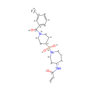 C=CC(=O)NC1CCCN(S(=O)(=O)C2CCN(C(=O)c3cccc(C(F)(F)F)c3)CC2)CC1